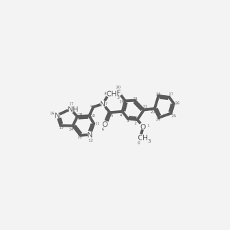 COc1cc(C(=O)N(C)Cc2cncc3cn[nH]c23)c(F)cc1-c1ccccc1